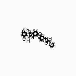 Cn1c(Nc2cc(C(F)(F)F)ccc2Cl)nc2cc(Oc3ccnc(NC(=O)CN4CCCC4)c3)ccc21